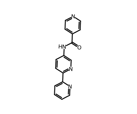 O=C(Nc1ccc(-c2ccccn2)nc1)c1ccncc1